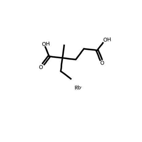 CCC(C)(CCC(=O)O)C(=O)O.[Rb]